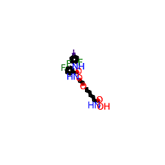 O=C(CCCCCCOCCONC(=O)c1ccc(F)c(F)c1Nc1ccc(I)cc1F)NO